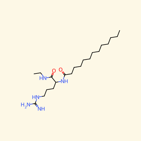 CCCCCCCCCCCCC(=O)NC(CCCNC(=N)N)C(=O)NCC